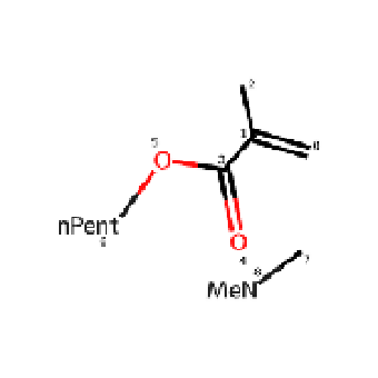 C=C(C)C(=O)OCCCCC.CNC